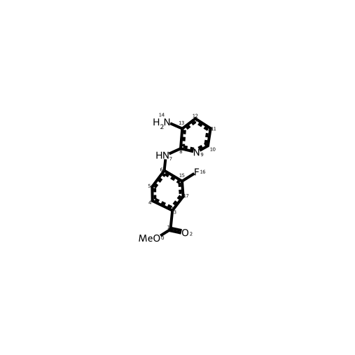 COC(=O)c1ccc(Nc2ncccc2N)c(F)c1